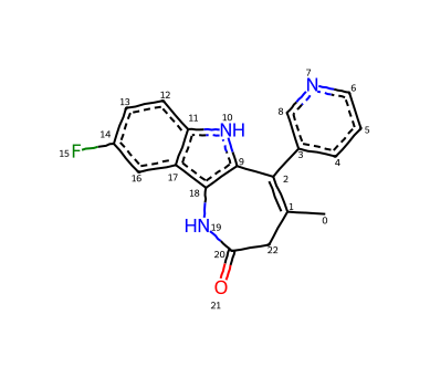 CC1=C(c2cccnc2)c2[nH]c3ccc(F)cc3c2NC(=O)C1